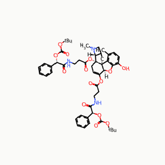 Cc1ccc(O)c2c1[C@]13CC4CN(C)[C@H]4[C@]1(OC(=O)CCNC(=O)[C@@H](OC(=O)OC(C)(C)C)c1ccccc1)CC=C(OC(=O)CCNC(=O)[C@@H](OC(=O)OC(C)(C)C)c1ccccc1)[C@@H]3O2